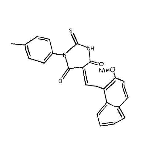 COc1ccc2ccccc2c1C=C1C(=O)NC(=S)N(c2ccc(C)cc2)C1=O